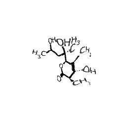 C[C@H]1[C@H](O)[C@@H](C)C(=O)O[C@H]1[C@](C)(O)C[C@@H](C)O